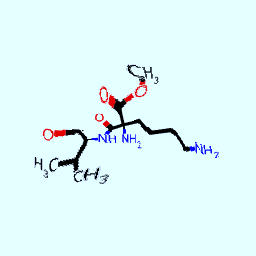 COC(=O)[C@](N)(CCCCN)C(=O)N[C@H]([C]=O)C(C)C